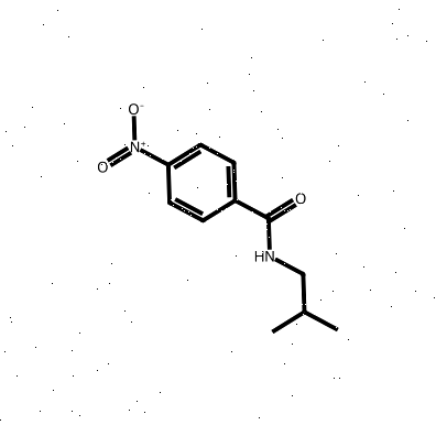 CC(C)CNC(=O)c1ccc([N+](=O)[O-])cc1